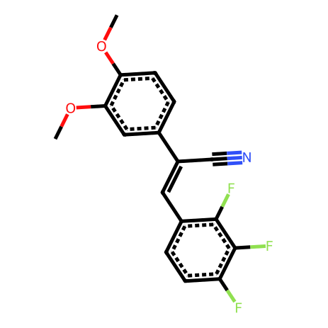 COc1ccc(C(C#N)=Cc2ccc(F)c(F)c2F)cc1OC